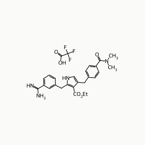 CCOC(=O)c1c(Cc2ccc(C(=O)N(C)C)cc2)c[nH]c1Cc1cccc(C(=N)N)c1.O=C(O)C(F)(F)F